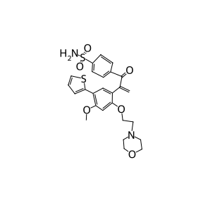 C=C(C(=O)c1ccc(S(N)(=O)=O)cc1)c1cc(-c2cccs2)c(OC)cc1OCCN1CCOCC1